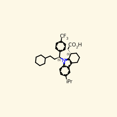 CC(C)c1ccc2c(c1)c1c(n2[C@@H](CCC2CCCCC2)c2ccc(C(F)(F)F)cc2)[C@H](CC(=O)O)CCC1